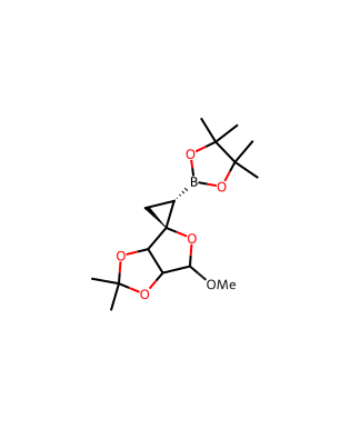 COC1O[C@]2(C[C@@H]2B2OC(C)(C)C(C)(C)O2)C2OC(C)(C)OC12